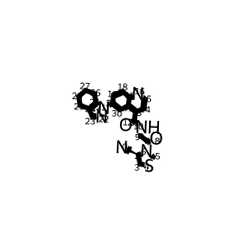 N#C[C@@H]1CSCN1C(=O)CNC(=O)c1ccnc2ccc(-n3ncc4c3CCCC4)cc12